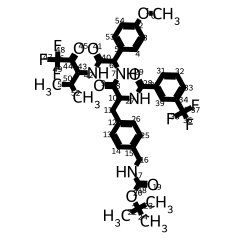 COc1ccc(C(NC(=O)C(Cc2ccc(CNC(=O)OC(C)(C)C)cc2)NC(=O)c2cccc(C(F)(F)F)c2)C(=O)NC(C(=O)C(F)(F)F)C(C)C)cc1